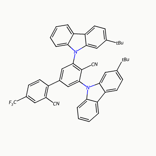 CC(C)(C)c1ccc2c3ccccc3n(-c3cc(-c4ccc(C(F)(F)F)cc4C#N)cc(-n4c5ccccc5c5ccc(C(C)(C)C)cc54)c3C#N)c2c1